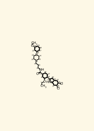 CCOc1cc(C(=O)NCCCN2CCN(c3cccc(OC)c3)CC2)ccc1-c1cc2cc(Cl)c(Cl)cc2[nH]1